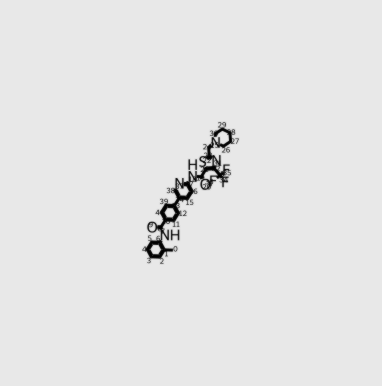 Cc1ccccc1NC(=O)c1ccc(-c2ccc(NC(=O)c3sc(CN4CCCCC4)nc3C(F)(F)F)nc2)cc1